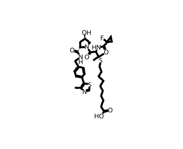 Cc1ncsc1-c1ccc(CNC(=O)[C@@H]2C[C@@H](O)CN2C(=O)[C@@H](NC(=O)C2(F)CC2)C(C)(C)SCCCCCCCCCC(=O)O)cc1